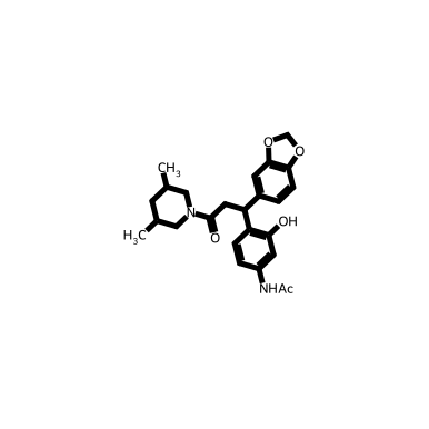 CC(=O)Nc1ccc(C(CC(=O)N2CC(C)CC(C)C2)c2ccc3c(c2)OCO3)c(O)c1